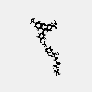 Cc1cc(C(=O)NCCNC(=O)OC(C)(C)C)ccc1OCCOc1cc(-c2c3ccc(=[N+](C)C)cc-3oc3cc(N(C)C)ccc23)ccc1C